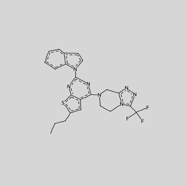 CCCc1cc2c(N3CCn4c(nnc4C(F)(F)F)C3)nc(-n3ccc4ccccc43)nc2s1